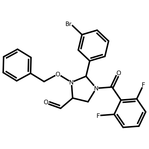 O=CC1CN(C(=O)c2c(F)cccc2F)C(c2cccc(Br)c2)N1OCc1ccccc1